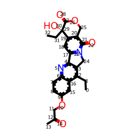 CCc1c2c(nc3ccc(OCC(C)=O)cc13)-c1cc3c(c(=O)n1C2)COC(=O)[C@]3(O)CC